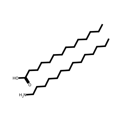 CCCCCCCCCCCCCC(=O)O.CCCCCCCCCCCCCCN